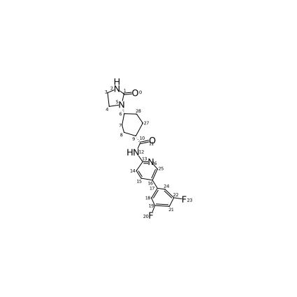 O=C1NCCN1[C@H]1CC[C@@H](C(=O)Nc2ccc(-c3cc(F)cc(F)c3)cn2)CC1